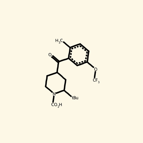 Cc1ccc(OC(F)(F)F)cc1C(=O)C1CCN(C(=O)O)C(C(C)(C)C)C1